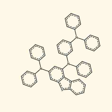 c1ccc(N(c2ccccc2)c2cccc(N(c3ccccc3)c3cc(N(c4ccccc4)c4ccccc4)cc4sc5ccccc5c34)c2)cc1